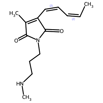 C/C=C\C=C/C1=C(C)C(=O)N(CCCNC)C1=O